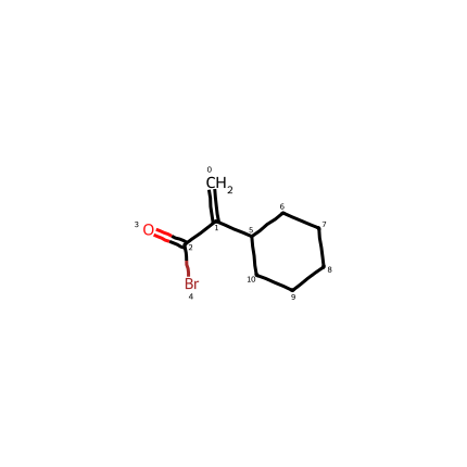 C=C(C(=O)Br)C1CCCCC1